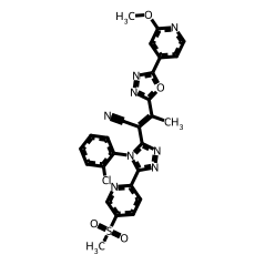 COc1cc(-c2nnc(/C(C)=C(\C#N)c3nnc(-c4ccc(S(C)(=O)=O)cn4)n3-c3ccccc3Cl)o2)ccn1